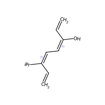 C=C/C(=C\C=C(\O)C=C)C(C)C